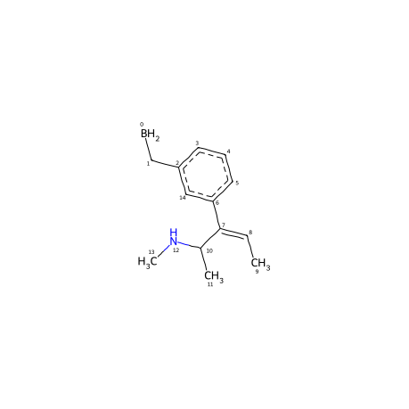 BCc1cccc(/C(=C/C)C(C)NC)c1